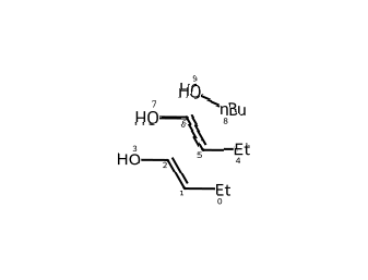 CCC=CO.CCC=CO.CCCCO